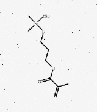 C=C(C)C(=O)OCCCO[Si](C)(C)C(C)(C)C